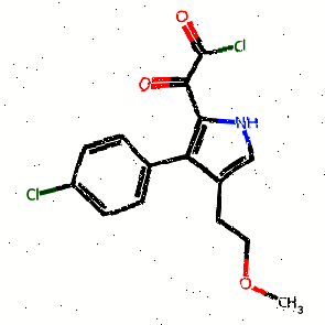 COCCc1c[nH]c(C(=O)C(=O)Cl)c1-c1ccc(Cl)cc1